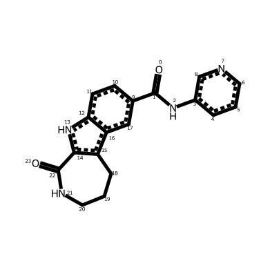 O=C(Nc1cccnc1)c1ccc2[nH]c3c(c2c1)CCCNC3=O